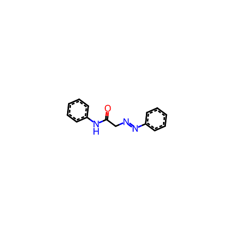 O=C(CN=Nc1ccccc1)Nc1ccccc1